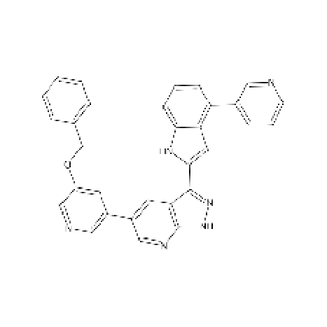 c1ccc(COc2cncc(-c3cnc4[nH]nc(-c5cc6c(-c7cccnc7)cccc6[nH]5)c4c3)c2)cc1